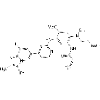 C=CC(=O)Nc1cc(Nc2nccc(-c3cc(F)c4nc(C)c(C(C)C)n4c3)n2)c(OC)cc1N(C)CCNC